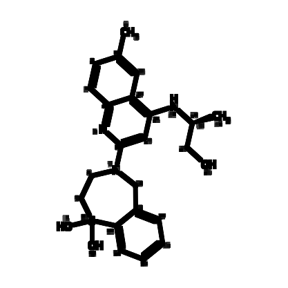 Cc1ccc2nc(N3CCS(O)(O)c4ccccc4C3)cc(N[C@@H](C)CO)c2c1